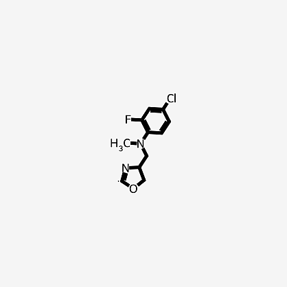 CN(CC1CO[C]=N1)c1ccc(Cl)cc1F